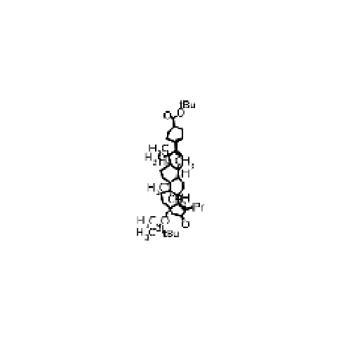 CC(C)C1=C2[C@H]3CC[C@@H]4[C@@]5(C)CC=C(C6=CCC(C(=O)OC(C)(C)C)CC6)C(C)(C)[C@@H]5CC[C@@]4(C)[C@]3(C)CC[C@@]2(CO[Si](C)(C)C(C)(C)C)CC1=O